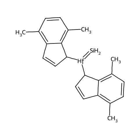 Cc1ccc(C)c2c1C=C[CH]2[Hf](=[SiH2])[CH]1C=Cc2c(C)ccc(C)c21